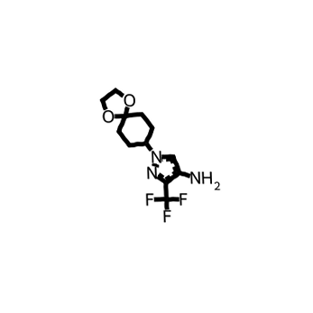 Nc1cn(C2CCC3(CC2)OCCO3)nc1C(F)(F)F